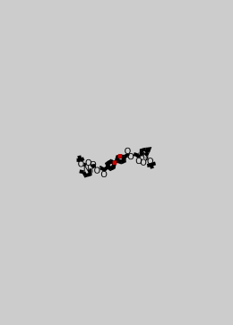 CC1CC[C@@H](C(=O)OCC(=O)c2ccc(-c3ccc(C(=O)OCC(=O)[C@@H]4CC5CC5N4C(=O)OC(C)(C)C)cc3)cc2)N1C(=O)OC(C)(C)C